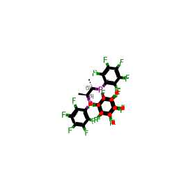 C[C@@H]([C@H](C)P(c1c(F)c(F)c(F)c(F)c1F)c1c(F)c(F)c(F)c(F)c1F)P(c1c(F)c(F)c(F)c(F)c1F)c1c(F)c(F)c(F)c(F)c1F